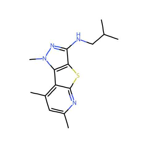 Cc1cc(C)c2c(n1)sc1c(NCC(C)C)nn(C)c12